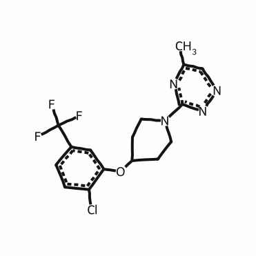 Cc1cnnc(N2CCC(Oc3cc(C(F)(F)F)ccc3Cl)CC2)n1